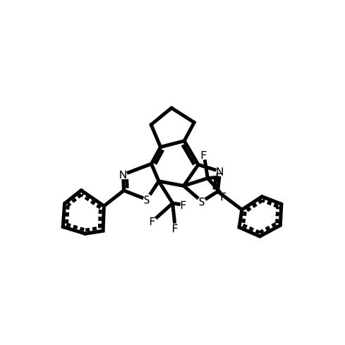 FC(F)(F)C12SC(c3ccccc3)=NC1=C1CCCC1=C1N=C(c3ccccc3)SC12C(F)(F)F